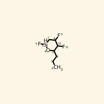 CCCC1O[SiH](F)CC(F)C1F